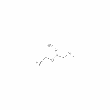 Br.CCOC(=O)CP